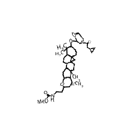 COC(=O)NCCC1C[C@@H](C)C2C(CC3C4CCC5C(C)(C)C(OC6CN(C(=O)CC7CC7)CCO6)CCC56CC46CCC32C)O1